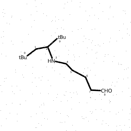 CC(C)(C)CC(NCCCCC=O)C(C)(C)C